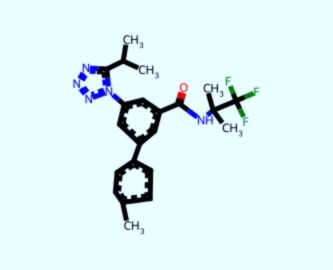 Cc1ccc(-c2cc(C(=O)NC(C)(C)C(F)(F)F)cc(-n3nnnc3C(C)C)c2)cc1